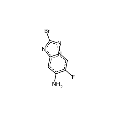 Nc1cc2nc(Br)nn2cc1F